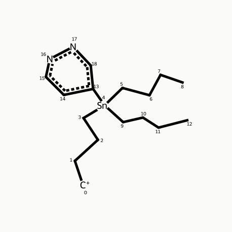 [CH2+]CC[CH2][Sn]([CH2]CCC)([CH2]CCC)[c]1ccnnc1